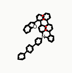 c1ccc(-c2ccc(-c3ccc(N(c4ccc(-c5ccccc5-c5cc6ccccc6o5)cc4)c4ccccc4-c4ccc(-c5ccccc5)cc4)cc3)cc2)cc1